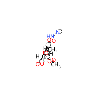 CC(=O)O[C@H]1C[C@]2(O)[C@@H]3CCC4=C[C@@H](OC(=O)NCCN5CCCC5)CC[C@]4(C)[C@H]3CC[C@]2(C)[C@H]1c1ccc(=O)oc1